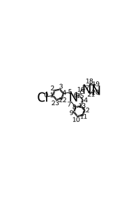 Clc1ccc(CN2Cc3ccccc3CC2Cn2ccnc2)cc1